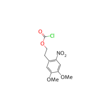 COc1cc(CCOC(=O)Cl)c([N+](=O)[O-])cc1OC